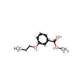 CCCOc1c[c]cc(C(=O)OC)c1